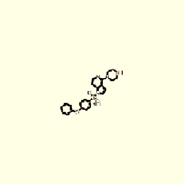 Cl.O=S(=O)(c1ccc(Oc2ccccc2)cc1)n1ccc2c(N3CCNCC3)nccc21